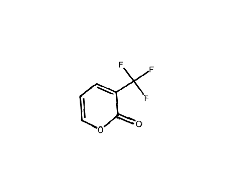 O=c1occcc1C(F)(F)F